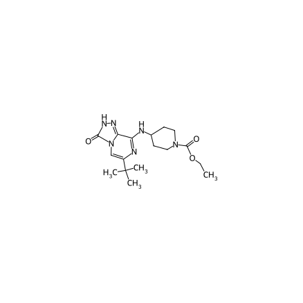 CCOC(=O)N1CCC(Nc2nc(C(C)(C)C)cn3c(=O)[nH]nc23)CC1